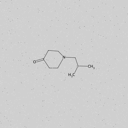 C[C](C)CN1CCC(=O)CC1